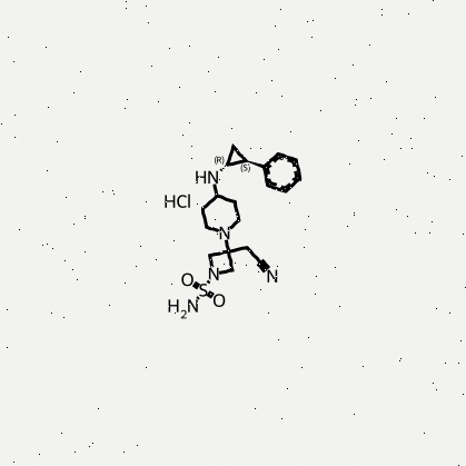 Cl.N#CCC1(N2CCC(N[C@@H]3C[C@H]3c3ccccc3)CC2)CN(S(N)(=O)=O)C1